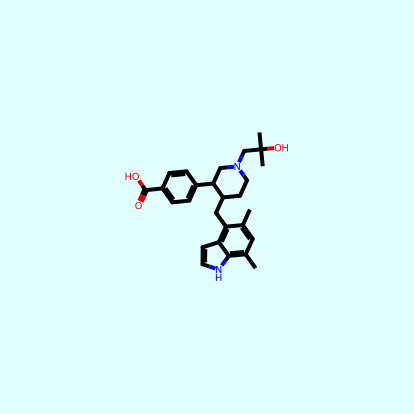 Cc1cc(C)c2[nH]ccc2c1CC1CCN(CC(C)(C)O)CC1c1ccc(C(=O)O)cc1